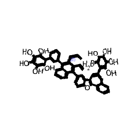 Bc1c(O)c(O)c(O)c(O)c1C1=Cc2c(oc3ccc(-c4c(C=C)c(/C=C\C)c(-c5cccc(-c6c(O)c(O)c(O)c(O)c6O)c5)c5ccccc45)cc23)-c2ccccc2C1